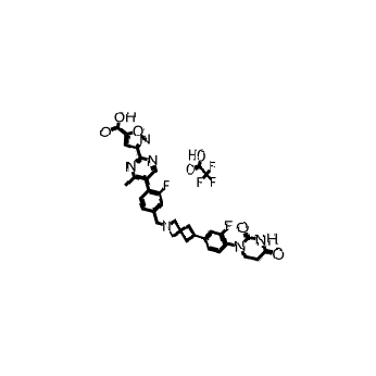 Cc1nc(-c2cc(C(=O)O)on2)ncc1-c1ccc(CN2CC3(CC(c4ccc(N5CCC(=O)NC5=O)c(F)c4)C3)C2)cc1F.O=C(O)C(F)(F)F